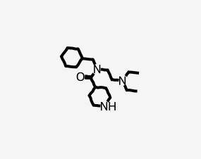 CCN(CC)CCN(CC1CCCCC1)C(=O)C1CCNCC1